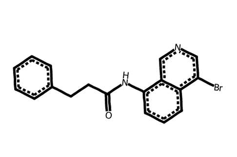 O=C(CCc1ccccc1)Nc1cccc2c(Br)cncc12